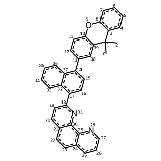 CC1(C)c2ccccc2Oc2ccc(-c3ccc(-c4ccc5ccc6cccnc6c5n4)c4ccccc34)cc21